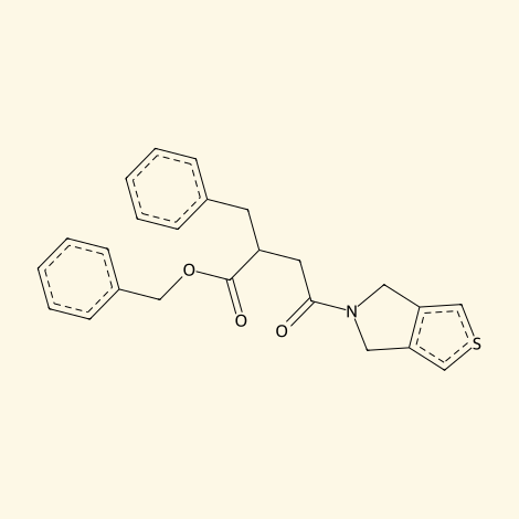 O=C(OCc1ccccc1)C(CC(=O)N1Cc2cscc2C1)Cc1ccccc1